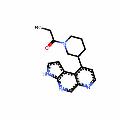 N#CCC(=O)N1CCCC(c2ccnc3cnc4[nH]ccc4c23)C1